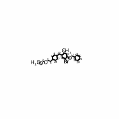 COCOCCc1ccc(Cc2cc(Br)c(OCc3ccccc3)cc2C)cc1